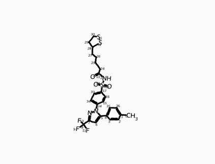 Cc1ccc(-c2cc(C(F)(F)F)nn2-c2ccc(S(=O)(=O)NC(=O)CCCCC3CCSS3)cc2)cc1